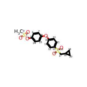 CS(=O)(=O)Oc1ccc(Oc2ccc(S(=O)(=O)CC3CC3)cc2)cc1